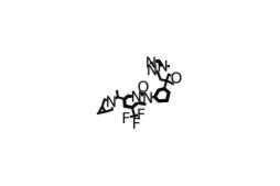 CC(c1cc(C(F)(F)F)c2cn(-c3cccc(C4(Cc5nncn5C)COC4)c3)c(=O)n2c1)N1CC2CC2C1